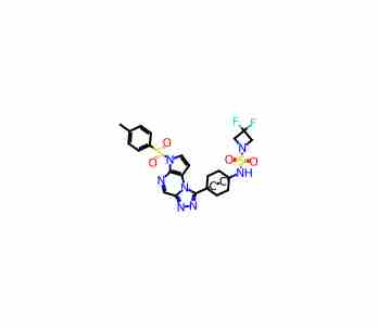 Cc1ccc(S(=O)(=O)n2ccc3c2ncc2nnc(C45CCC(NS(=O)(=O)N6CC(F)(F)C6)(CC4)CC5)n23)cc1